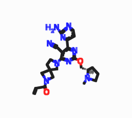 C=CC(=O)N1CC2(CCN(c3nc(OC[C@@H]4CCCN4C)nc(-c4ccnc(N)n4)c3C#N)C2)C1